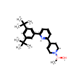 CB(O)N1CC=C(c2cccc(-c3cc(C(C)(C)C)cc(C(C)(C)C)c3)n2)CC1